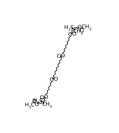 CC(=O)OCC[N+](C)(C)CC(=O)OCCCCCCCCCCOC(=O)CCCCCCCCCCC(=O)OCCCCCCCCOC(=O)C[N+](C)(C)CCOC(C)=O